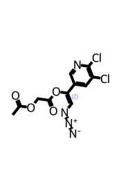 CC(=O)OCC(=O)O/C(=C\N=[N+]=[N-])c1cnc(Cl)c(Cl)c1